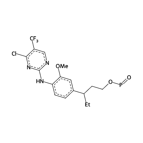 CCC(CCOP=O)c1ccc(Nc2ncc(C(F)(F)F)c(Cl)n2)c(OC)c1